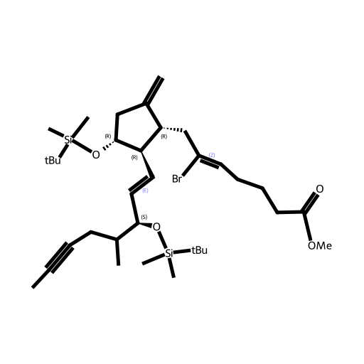 C=C1C[C@@H](O[Si](C)(C)C(C)(C)C)[C@H](/C=C/[C@@H](O[Si](C)(C)C(C)(C)C)C(C)CC#CC)[C@H]1C/C(Br)=C/CCCC(=O)OC